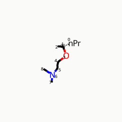 CCC[C@@H](C)OCCN(C)C